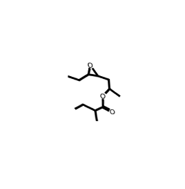 CCC(C)C(=O)OC(C)CC1OC1CC